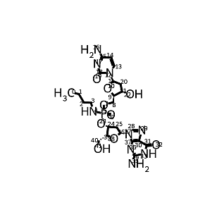 CCCCNP(=O)(OC[C@H]1O[C@@H](n2ccc(N)nc2=O)C[C@H]1O)O[C@@H]1C[C@H](n2cnc3c(=O)[nH]c(N)nc32)O[C@@H]1CO